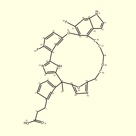 CC1(c2cccc(CCC(=O)O)c2)c2cnc([nH]2)-c2cc(ccc2F)Oc2c(F)cc3[nH]ccc3c2CCCOCCc2ncc1o2